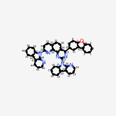 c1ccc2c(c1)oc1ccc(-c3nc(-n4c5ccccc5c5cccnc54)nc4c3ccc3ccc(-n5c6ccccc6c6cccnc65)nc34)cc12